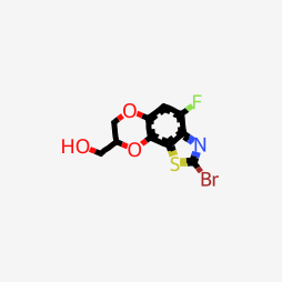 OCC1COc2cc(F)c3nc(Br)sc3c2O1